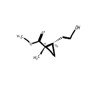 COC(=O)[C@@]1(C)C[C@H]1CCO